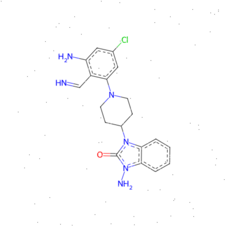 N=Cc1c(N)cc(Cl)cc1N1CCC(n2c(=O)n(N)c3ccccc32)CC1